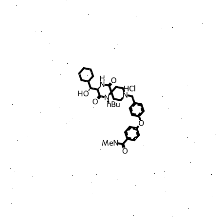 CCCCN1C(=O)[C@@H]([C@H](O)C2CCCCC2)NC(=O)C12CCN(Cc1ccc(Oc3ccc(C(=O)NC)cc3)cc1)CC2.Cl